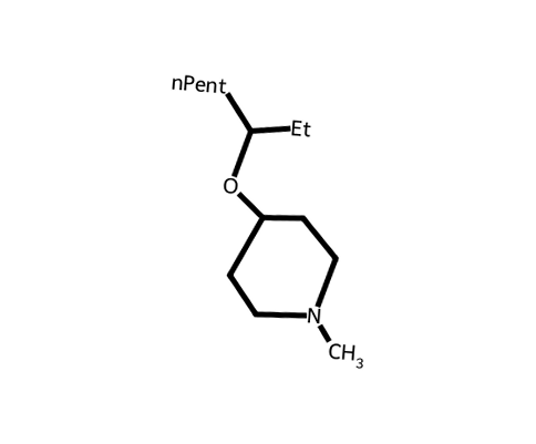 CCCCCC(CC)OC1CCN(C)CC1